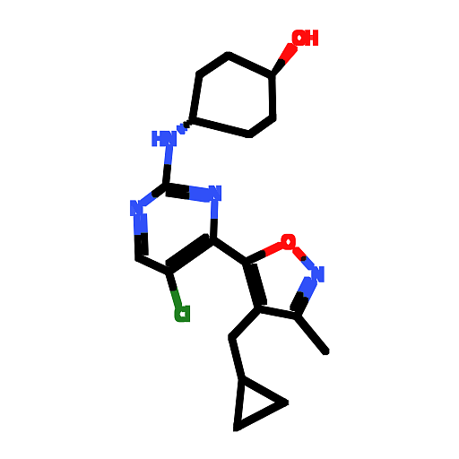 Cc1noc(-c2nc(N[C@H]3CC[C@H](O)CC3)ncc2Cl)c1CC1CC1